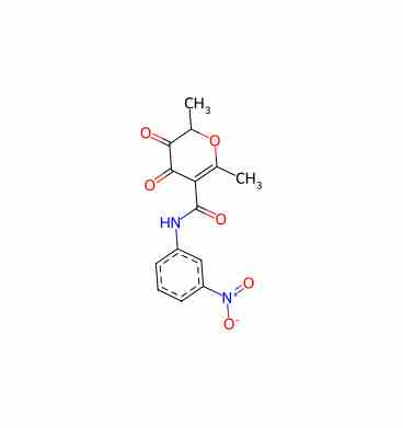 CC1=C(C(=O)Nc2cccc([N+](=O)[O-])c2)C(=O)C(=O)C(C)O1